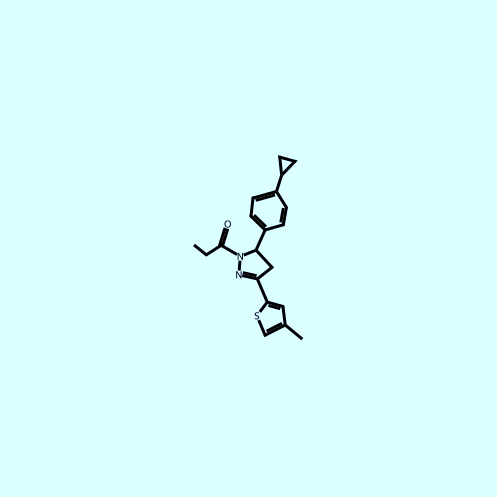 CCC(=O)N1N=C(c2cc(C)cs2)CC1c1ccc(C2CC2)cc1